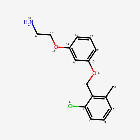 Cc1cccc(Cl)c1COc1cccc(OCCN)c1